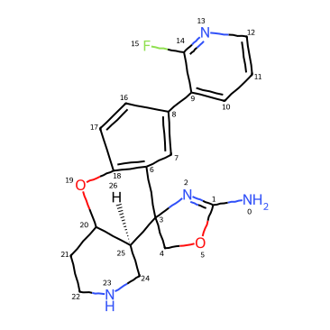 NC1=NC2(CO1)c1cc(-c3cccnc3F)ccc1OC1CCNC[C@@H]12